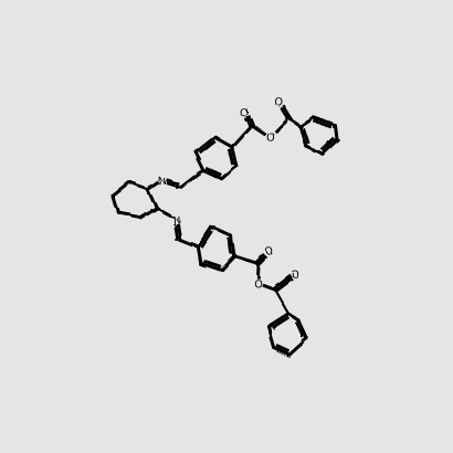 O=C(OC(=O)c1ccc(C=NC2CCCCC2/N=C/c2ccc(C(=O)OC(=O)c3ccccc3)cc2)cc1)c1ccccc1